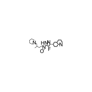 CC(CCN(C=O)c1[nH]nc(-c2ccc3ncccc3c2)c1F)CN1CCCCC1